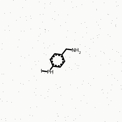 NCc1ccc(PI)cc1